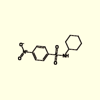 O=[N+]([O-])c1ccc(S(=O)(=O)NC2CCCCC2)cc1